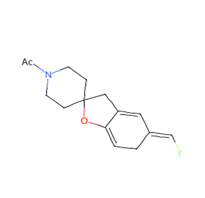 CC(=O)N1CCC2(CC1)CC1=CC(=CF)CC=C1O2